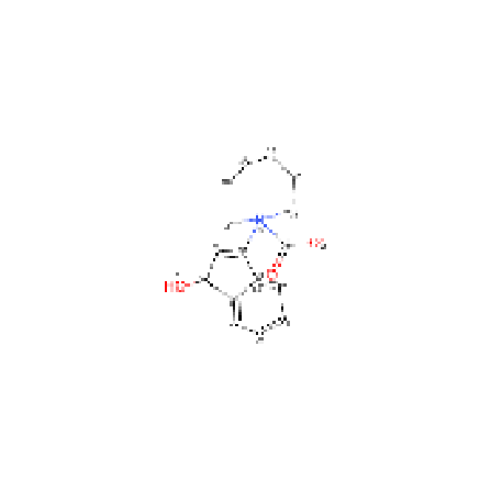 O=C([O-])[N+]1(C2=CC(O)c3ccccc32)CCCCCC1